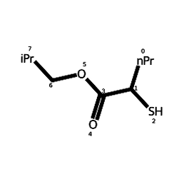 CCCC(S)C(=O)OCC(C)C